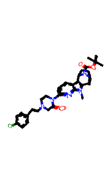 Cn1c2c(c3ccc(N4CCN(CCc5ccc(Cl)cc5)CC4=O)nc31)C1CCC(C2)N1C(=O)OC(C)(C)C